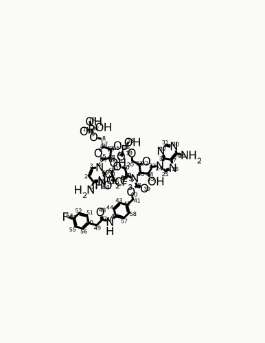 Nc1ccn([C@@H]2O[C@H](COP(=O)(O)O)[C@@H](OP(=O)(O)OCC3OC(n4cnc5c(N)ncnc54)C(O)C3N(C(=O)OCc3ccc(NC(=O)Cc4ccc(F)cc4)cc3)[C@H](COCC(O)C(F)(F)F)C(=O)O)[C@H]2O)c(=O)n1